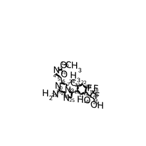 COc1ncc(-c2cn3c(-c4cc(C(O)(CO)C(F)(F)F)ccc4C)cnc3c(N)n2)o1